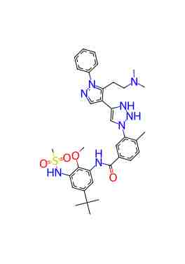 COc1c(NC(=O)c2ccc(C)c(N3C=C(c4cnn(-c5ccccc5)c4CCN(C)C)NN3)c2)cc(C(C)(C)C)cc1NS(C)(=O)=O